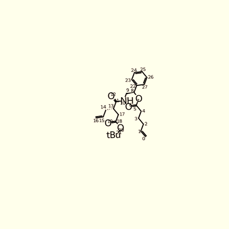 C=CCCCC(=O)O[C@@H](CNC(=O)[C@@H](CC=C)CC(=O)OC(C)(C)C)c1ccccc1